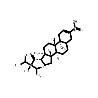 CC(C)[N+](O)(C(=O)[C@H]1CC[C@H]2[C@@H]3CCC4CC([PH](=O)O)=CC[C@]4(C)[C@H]3CC[C@]12C)C(C)C